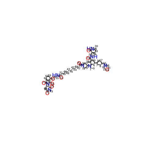 CCN(c1cc(-c2ccc(CN3CCOCC3)cc2)cc(C(=O)NCc2c(C)cc(C)[nH]c2=O)c1C)C1CCN(C(=O)CCCCCCCCCCC(=O)NCCOc2cccc3c2C(=O)N(C2CCC(=O)N(C)C2=O)C3=O)CC1